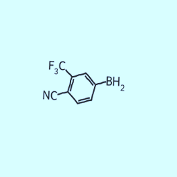 Bc1ccc(C#N)c(C(F)(F)F)c1